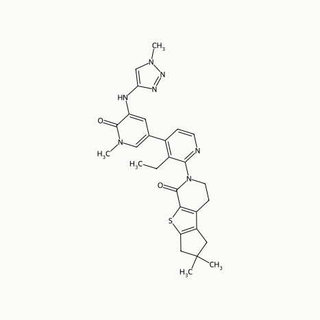 CCc1c(-c2cc(Nc3cn(C)nn3)c(=O)n(C)c2)ccnc1N1CCc2c(sc3c2CC(C)(C)C3)C1=O